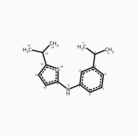 CC(C)c1cccc(Nc2ccc(C(C)C)s2)c1